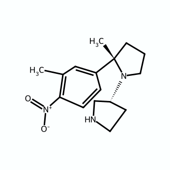 Cc1cc([C@]2(C)CCCN2[C@@H]2CCNC2)ccc1[N+](=O)[O-]